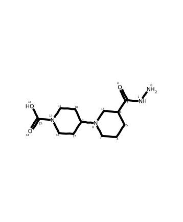 NNC(=O)C1CCCN(C2CCN(C(=O)O)CC2)C1